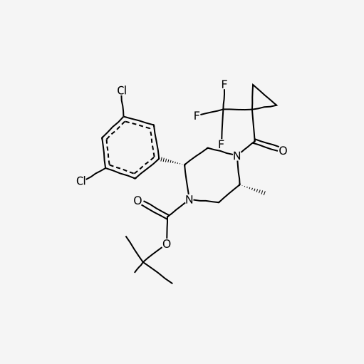 C[C@@H]1CN(C(=O)OC(C)(C)C)[C@H](c2cc(Cl)cc(Cl)c2)CN1C(=O)C1(C(F)(F)F)CC1